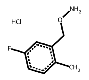 Cc1ccc(F)cc1CON.Cl